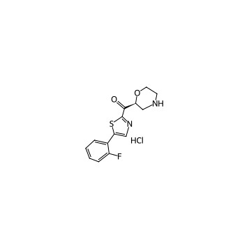 Cl.O=C(c1ncc(-c2ccccc2F)s1)[C@@H]1CNCCO1